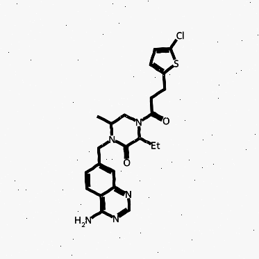 CCC1C(=O)N(Cc2ccc3c(N)ncnc3c2)C(C)CN1C(=O)CCc1ccc(Cl)s1